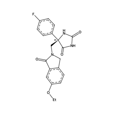 CCOc1ccc2c(c1)C(=O)N(C[C@@]1(c3ccc(F)cc3)NC(=O)NC1=O)C2